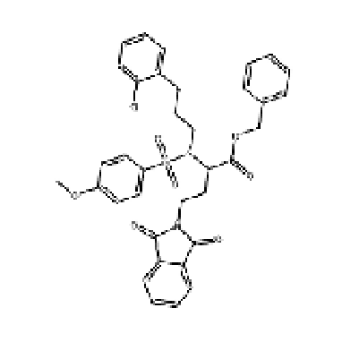 COc1ccc(S(=O)(=O)N(CCCc2ccccc2Cl)C(CCN2C(=O)c3ccccc3C2=O)C(=O)OCc2ccccc2)cc1